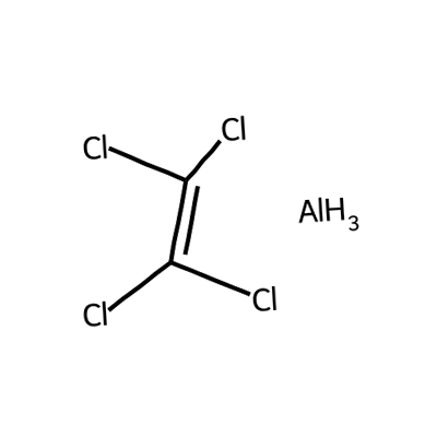 ClC(Cl)=C(Cl)Cl.[AlH3]